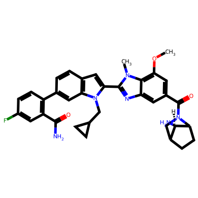 COc1cc(C(=O)N2CC3CCC2[C@@H]3N)cc2nc(-c3cc4ccc(-c5ccc(F)cc5C(N)=O)cc4n3CC3CC3)n(C)c12